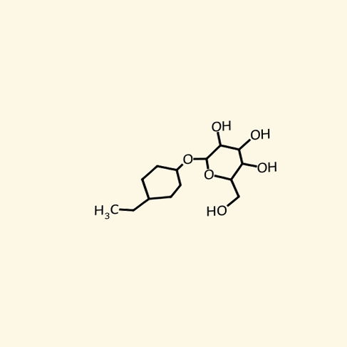 CCC1CCC(OC2OC(CO)C(O)C(O)C2O)CC1